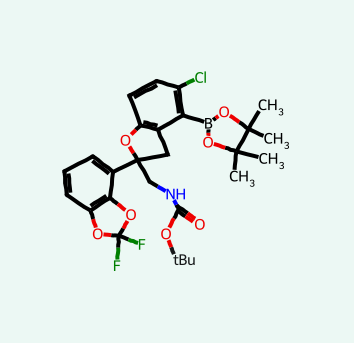 CC(C)(C)OC(=O)NCC1(c2cccc3c2OC(F)(F)O3)Cc2c(ccc(Cl)c2B2OC(C)(C)C(C)(C)O2)O1